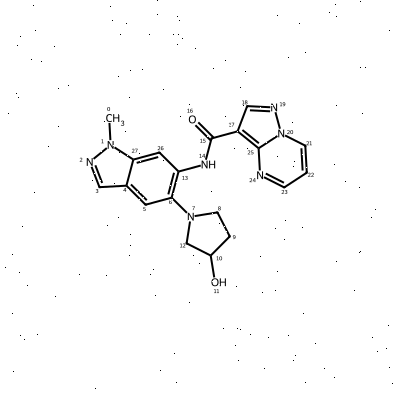 Cn1ncc2cc(N3CCC(O)C3)c(NC(=O)c3cnn4cccnc34)cc21